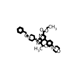 CCOC(=O)c1cc(-c2ccc(N3CCOCC3)cc2)c2c(C(C)C)nn(C3CCN(OCc4ccccc4)CC3)c2n1